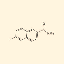 CNC(=O)c1ccc2cc(I)ccc2c1